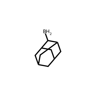 BC1C2CC3CC(C2)CC1C3